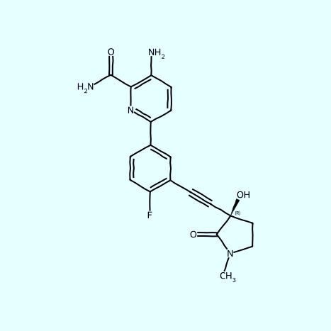 CN1CC[C@@](O)(C#Cc2cc(-c3ccc(N)c(C(N)=O)n3)ccc2F)C1=O